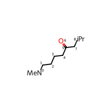 CNCCCCC(=O)CC(C)C